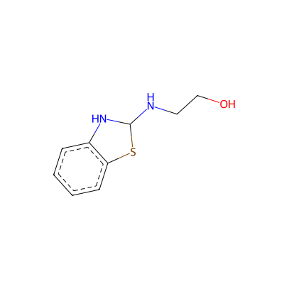 OCCNC1Nc2ccccc2S1